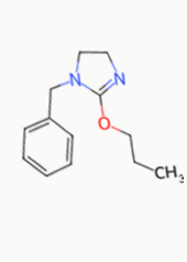 CCCOC1=NCCN1Cc1ccccc1